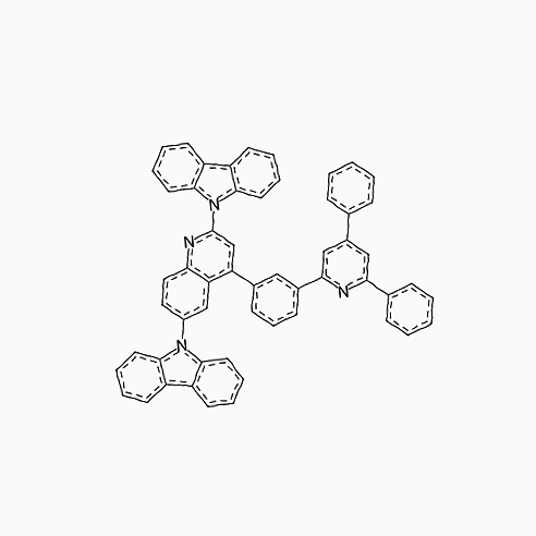 c1ccc(-c2cc(-c3ccccc3)nc(-c3cccc(-c4cc(-n5c6ccccc6c6ccccc65)nc5ccc(-n6c7ccccc7c7ccccc76)cc45)c3)c2)cc1